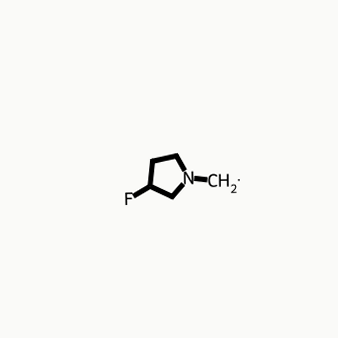 [CH2]N1CCC(F)C1